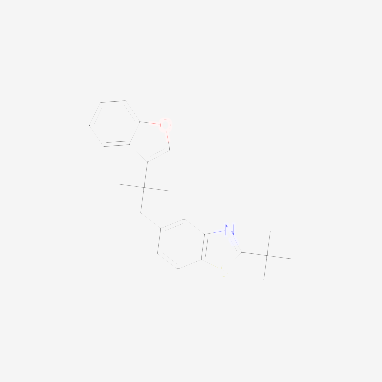 CC(C)(C)c1nc2cc(CC(C)(C)c3coc4ccccc34)ccc2s1